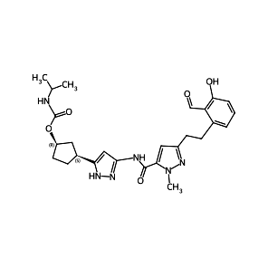 CC(C)NC(=O)O[C@@H]1CC[C@H](c2cc(NC(=O)c3cc(CCc4cccc(O)c4C=O)nn3C)n[nH]2)C1